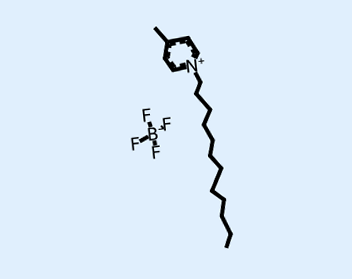 CCCCCCCCCCCC[n+]1ccc(C)cc1.F[B-](F)(F)F